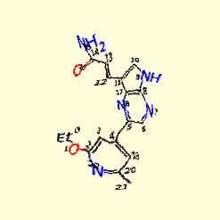 CCOc1cc(-c2cnc3[nH]cc(/C=C/C(N)=O)c3n2)cc(C)n1